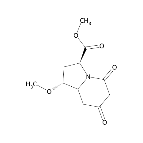 COC(=O)[C@@H]1C[C@@H](OC)C2CC(=O)CC(=O)N21